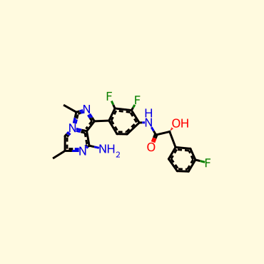 Cc1cn2c(C)nc(-c3ccc(NC(=O)[C@H](O)c4cccc(F)c4)c(F)c3F)c2c(N)n1